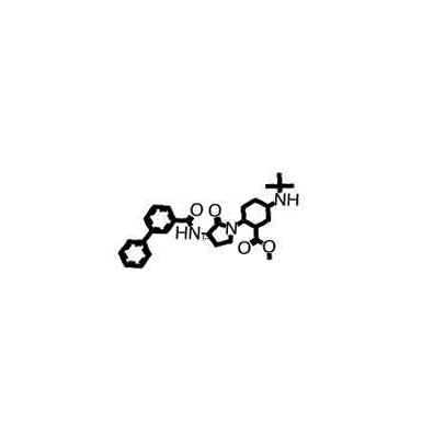 COC(=O)C1CC(NC(C)(C)C)CCC1N1CC[C@H](NC(=O)c2cccc(-c3ccccc3)c2)C1=O